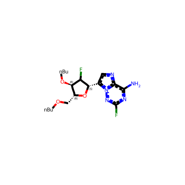 CCCCOC[C@H]1O[C@@H](c2cnc3c(N)nc(F)nn23)C(F)[C@@H]1OCCCC